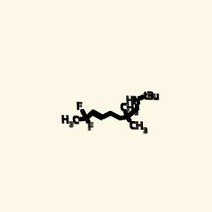 CC(F)(F)/C=C/CCC(C)(C)CNC(C)(C)C